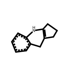 c1ccc2c(c1)CC1=C(CCC1)N2